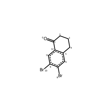 O=C1CCCc2cc(Br)c(Br)cc21